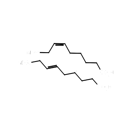 CCCCCCCCCCC/C=C\CCCCC(=O)O.CCCCCCCCCCCC=CCCCCC(=O)O